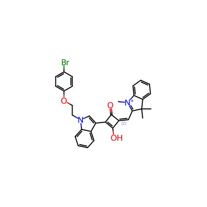 C[N+]1=C(/C=C2\C(=O)C(c3cn(CCOc4ccc(Br)cc4)c4ccccc34)=C2O)C(C)(C)c2ccccc21